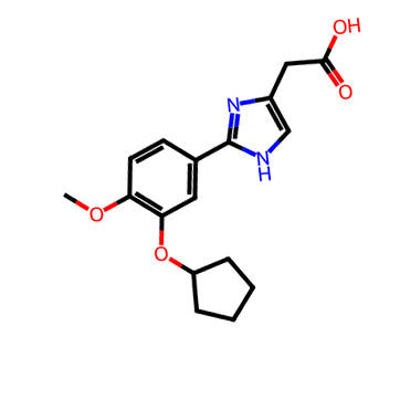 COc1ccc(-c2nc(CC(=O)O)c[nH]2)cc1OC1CCCC1